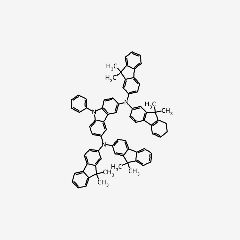 CC1(C)C2=C(C=CCC2)c2ccc(N(c3ccc4c(c3)C(C)(C)c3ccccc3-4)c3ccc4c(c3)c3cc(N(c5ccc6c(c5)C(C)(C)c5ccccc5-6)c5ccc6c(c5)C(C)(C)c5ccccc5-6)ccc3n4-c3ccccc3)cc21